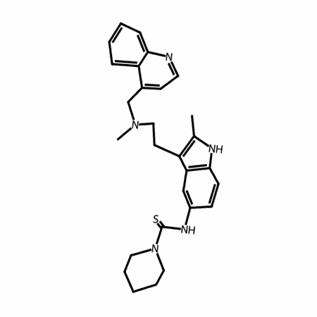 Cc1[nH]c2ccc(NC(=S)N3CCCCC3)cc2c1CCN(C)Cc1ccnc2ccccc12